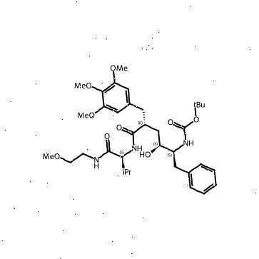 COCCNC(=O)[C@@H](NC(=O)[C@H](Cc1cc(OC)c(OC)c(OC)c1)C[C@H](O)[C@H](Cc1ccccc1)NC(=O)OC(C)(C)C)C(C)C